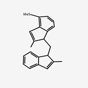 CSc1cccc2c1C=C(C)C2CC1C(C)=Cc2ccccc21